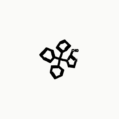 O=Cc1nccn1C(c1ccccc1)(c1ccccc1)c1ccccc1